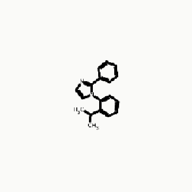 CC(C)c1ccccc1-n1ccnc1-c1ccccc1